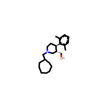 Cc1cccc(C)c1[C@@H]1CCN(CC2CCCCCCC2)C[C@H]1CO